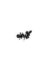 c1ccc(-c2cn3cc(-c4ccc(-c5nc6ccccc6c6ccc7c(nc(-c8ccccc8)n7-c7ccccc7)c56)cc4)ccc3n2)cc1